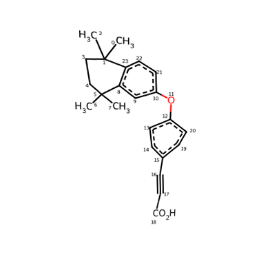 CC1(C)CCC(C)(C)c2cc(Oc3ccc(C#CC(=O)O)cc3)ccc21